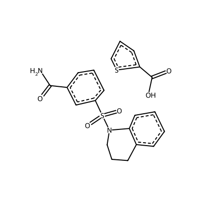 NC(=O)c1cccc(S(=O)(=O)N2CCCc3ccccc32)c1.O=C(O)c1cccs1